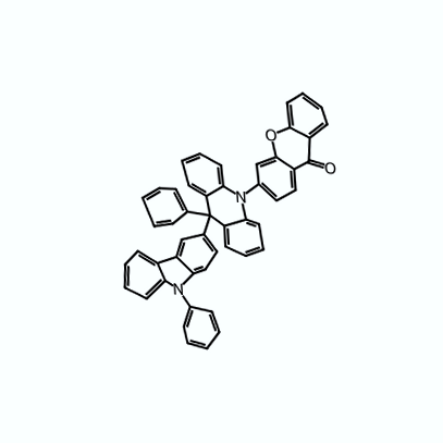 O=c1c2ccccc2oc2cc(N3c4ccccc4C(c4ccccc4)(c4ccc5c(c4)c4ccccc4n5-c4ccccc4)c4ccccc43)ccc12